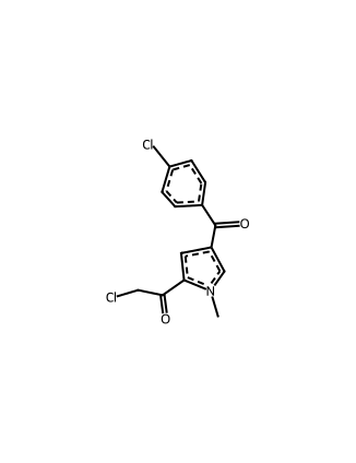 Cn1cc(C(=O)c2ccc(Cl)cc2)cc1C(=O)CCl